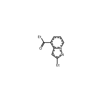 CCC(=O)c1cccn2nc(CC)cc12